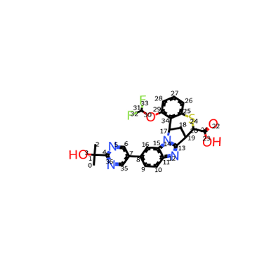 CC(C)(O)c1ncc(-c2ccc3nc4n(c3c2)C2CC4C(C(=O)O)Sc3cccc(OC(F)F)c32)cn1